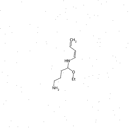 C=C/C=C\NC(CCCN)OCC